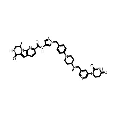 C[C@@H]1CNC(=O)c2cc3ccc(C(=O)Nc4cnn(Cc5ccc(N6CCC(N(C)Cc7cncc(N8CCC(=O)NC8=O)c7)CC6)cc5)c4)nc3n21